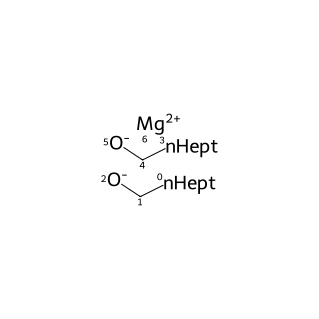 CCCCCCCC[O-].CCCCCCCC[O-].[Mg+2]